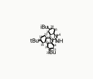 CCC(C)c1ccc(N(C)C(=N)N(Cc2ccc(C(C)(C)C)cc2)c2ccc(C(C)CC)cc2)cc1